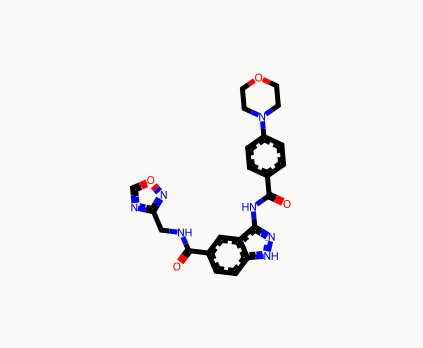 O=C(NCc1ncon1)c1ccc2[nH]nc(NC(=O)c3ccc(N4CCOCC4)cc3)c2c1